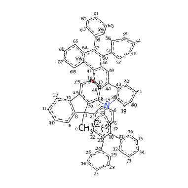 CC1(c2ccccc2)c2ccccc2-c2cccc(N(c3ccc(-c4ccccc4)c(-c4ccccc4)c3)c3ccccc3-c3ccc4c(c3)c(-c3ccccc3)c(-c3ccccc3)c3ccccc34)c21